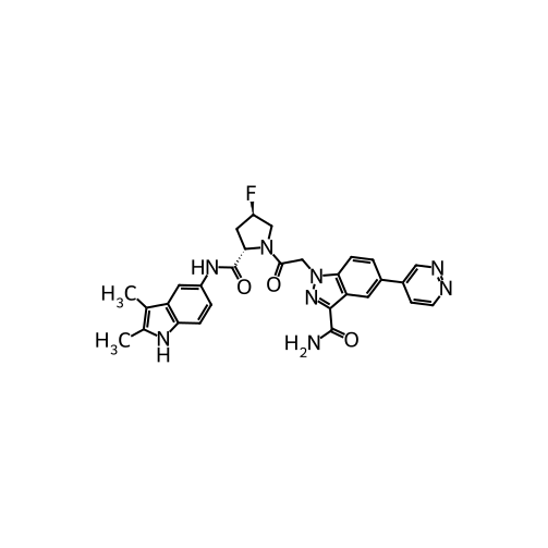 Cc1[nH]c2ccc(NC(=O)[C@@H]3C[C@@H](F)CN3C(=O)Cn3nc(C(N)=O)c4cc(-c5ccnnc5)ccc43)cc2c1C